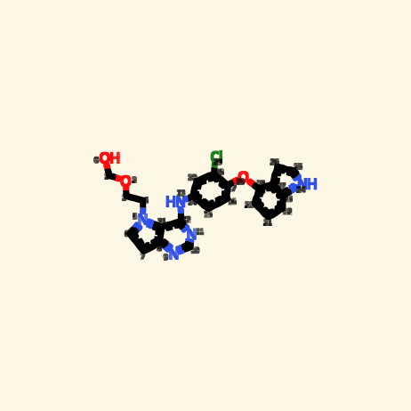 OCOCCn1ccc2ncnc(Nc3ccc(Oc4cccc5[nH]ccc45)c(Cl)c3)c21